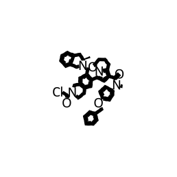 C[C@@H]1Cc2ccccc2CN1C(=O)c1cc2c(cc1-c1cc(C(=O)N(C)c3ccc(OCc4ccccc4)cc3)c3n1CCCC3)CCN(C(=O)Cl)C2